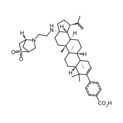 C=C(C)[C@@H]1CC[C@]2(NCCN3CC4C[C@@H]3CS4(=O)=O)CC[C@]3(C)[C@H](CC[C@@H]4[C@@]5(C)CC=C(c6ccc(C(=O)O)cc6)C(C)(C)[C@@H]5CC[C@]43C)[C@@H]12